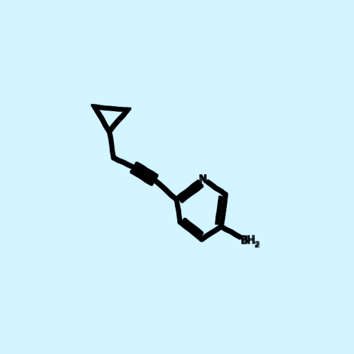 Bc1ccc(C#CCC2CC2)nc1